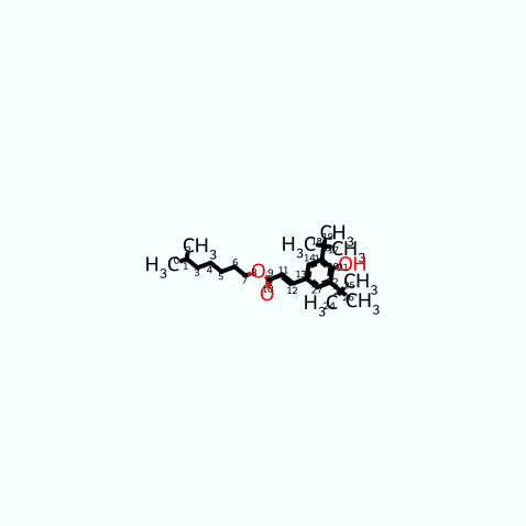 CC(C)CCCCCOC(=O)C=Cc1cc(C(C)(C)C)c(O)c(C(C)(C)C)c1